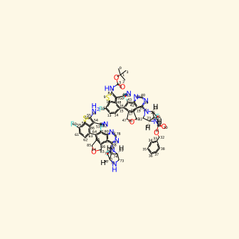 CC(C)(C)OC(=O)Nc1sc2c(F)ccc(-c3c4c(c5c(N6C[C@H]7[C@H](F)[C@@H]6CN7C(=O)OCc6ccccc6)ncnc5c3F)COC4)c2c1C#N.N#Cc1c(N)sc2c(F)ccc(-c3c4c(c5c(N6C[C@@H]7NC[C@H]6[C@H]7F)ncnc5c3F)COC4)c12